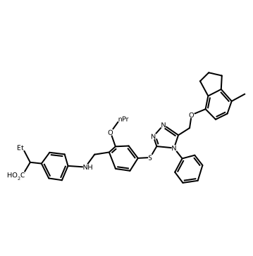 CCCOc1cc(Sc2nnc(COc3ccc(C)c4c3CCC4)n2-c2ccccc2)ccc1CNc1ccc(C(CC)C(=O)O)cc1